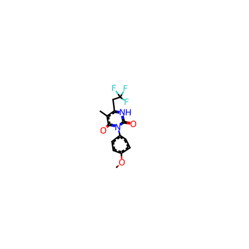 COc1ccc(-n2c(=O)[nH]c(CC(F)(F)F)c(C)c2=O)cc1